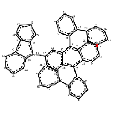 c1ccc(-c2ccccc2-c2c3ccccc3c(-c3ccccc3-c3ccccc3)c3cc(-n4c5ccccc5c5ccccc54)ccc23)cc1